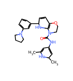 CC1=CC(NC(=O)N2CCOC3=C2NC(c2cccc(N4CCCC4)c2)C=C3)=CC(C)N1